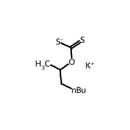 CCCCCC(C)OC(=S)[S-].[K+]